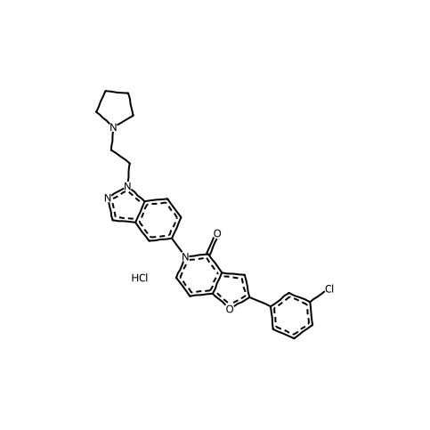 Cl.O=c1c2cc(-c3cccc(Cl)c3)oc2ccn1-c1ccc2c(cnn2CCN2CCCC2)c1